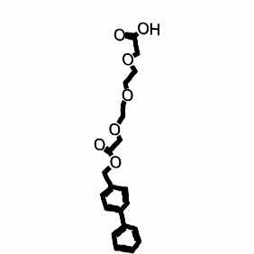 O=C(O)COCCOCCOCC(=O)OCc1ccc(-c2ccccc2)cc1